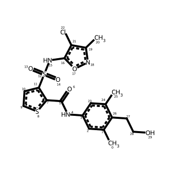 Cc1cc(NC(=O)c2sccc2S(=O)(=O)Nc2onc(C)c2Cl)cc(C)c1CCO